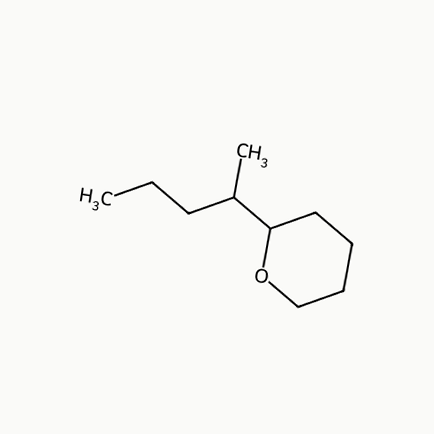 CCCC(C)C1CCCCO1